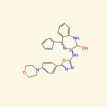 OC1Nc2ccccc2C(c2ccccc2)=N[C@@H]1Nc1nnc(-c2ccc(N3CCOCC3)cc2)o1